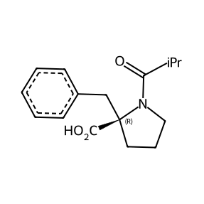 CC(C)C(=O)N1CCC[C@@]1(Cc1ccccc1)C(=O)O